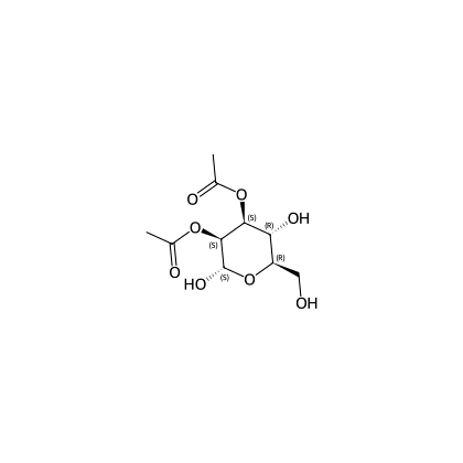 CC(=O)O[C@H]1[C@H](O)[C@@H](CO)O[C@H](O)[C@H]1OC(C)=O